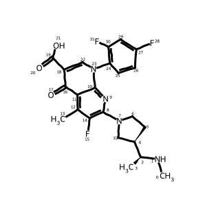 CN[C@@H](C)[C@@H]1CCN(c2nc3c(c(C)c2F)c(=O)c(C(=O)O)cn3-c2ccc(F)cc2F)C1